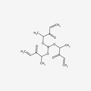 C=CC(=O)C(C)OB(OC(C)C(=O)C=C)OC(C)C(=O)C=C